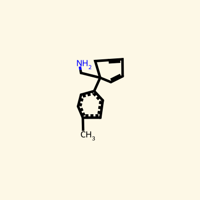 Cc1ccc(C2(CN)C=CC=CC2)cc1